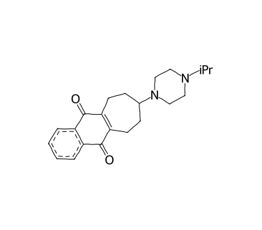 CC(C)N1CCN(C2CCC3=C(CC2)C(=O)c2ccccc2C3=O)CC1